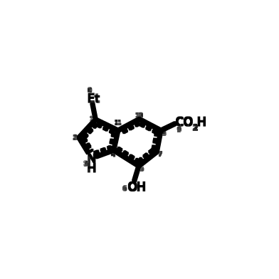 CCc1c[nH]c2c(O)cc(C(=O)O)cc12